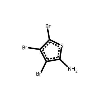 Nc1sc(Br)c(Br)c1Br